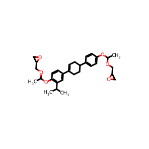 CC(OCC1CO1)Oc1ccc(C2CC=C(c3ccc(OC(C)OCC4CO4)c(C(C)C)c3)CC2)cc1